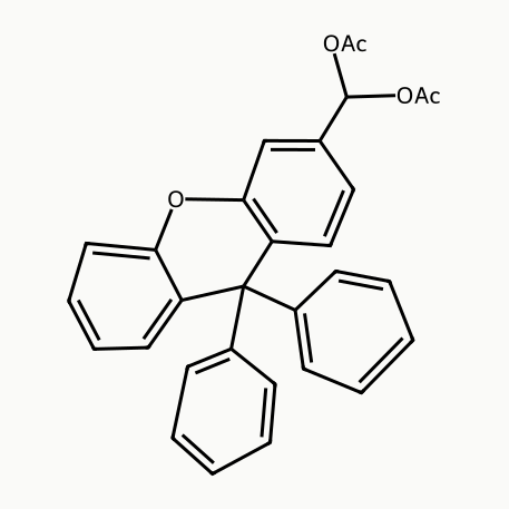 CC(=O)OC(OC(C)=O)c1ccc2c(c1)Oc1ccccc1C2(c1ccccc1)c1ccccc1